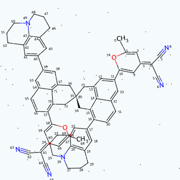 CC1=CC(=C(C#N)C#N)C=C(c2cc3c4c(c(-c5cc6c7c(c5)CCCN7CCC6)ccc4c2)C[C@@]2(Cc4cc(-c5cc6c7c(c5)CCCN7CCC6)cc5ccc(C6=CC(=C(C#N)C#N)C=C(C)O6)c(c45)C2)C3)O1